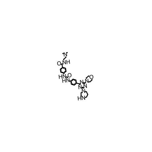 CN(C)CCNC(=O)c1ccc(NC(=O)Nc2ccc(-c3nc(N4CCCNCC4)nc(N4CCOCC4)n3)cc2)cc1